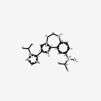 CC(C)n1ncnc1-c1cn2c(n1)-c1cc([S+]([O-])C(C)C)ccc1OCC2